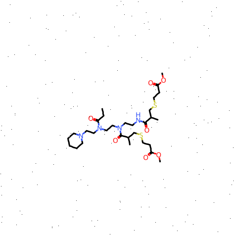 CCC(=O)N(CCN1CCCCC1)CCN(CCNC(=O)C(C)CSCCC(=O)OC)C(=O)C(C)CSCCC(=O)OC